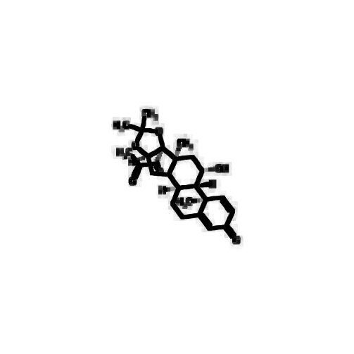 CC(=O)C(=O)[C@@]12OC(C)(C)O[C@@H]1CC1[C@@H]3CCC4=CC(=O)C=C[C@]4(C)[C@H]3[C@@H](O)C[C@@]12C